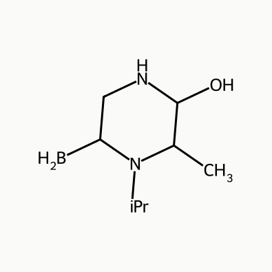 BC1CNC(O)C(C)N1C(C)C